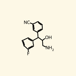 N#Cc1cccc(C(c2cccc(F)c2)C(O)CN)c1